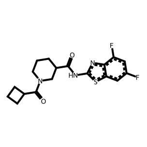 O=C(Nc1nc2c(F)cc(F)cc2s1)C1CCCN(C(=O)C2CCC2)C1